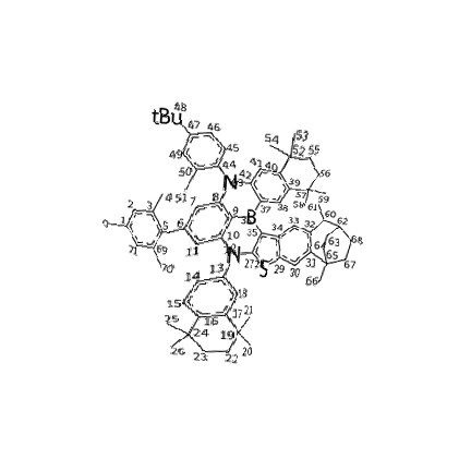 Cc1cc(C)c(-c2cc3c4c(c2)N(c2ccc5c(c2)C(C)(C)CCC5(C)C)c2sc5cc6c(cc5c2B4c2cc4c(cc2N3c2ccc(C(C)(C)C)cc2C)C(C)(C)CCC4(C)C)C(C)C2CCC6(C)CC2)c(C)c1